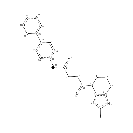 Cc1cc2n(n1)CCCN2C(=O)CCC(=O)Nc1ccc(-c2cnccn2)cc1